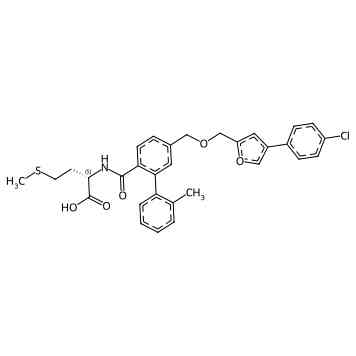 CSCC[C@H](NC(=O)c1ccc(COCc2cc(-c3ccc(Cl)cc3)co2)cc1-c1ccccc1C)C(=O)O